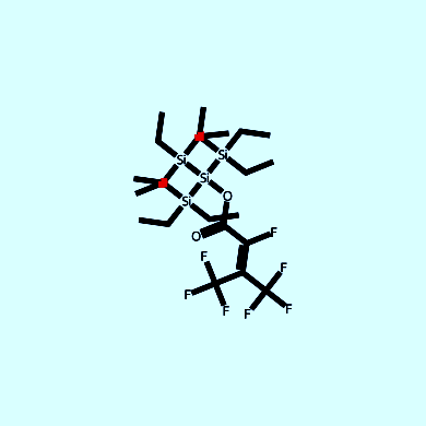 CC[Si](CC)(CC)[Si](OC(=O)C(F)=C(C(F)(F)F)C(F)(F)F)([Si](CC)(CC)CC)[Si](CC)(CC)CC